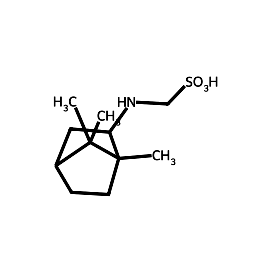 CC1(C)C2CCC1(C)C(NCS(=O)(=O)O)C2